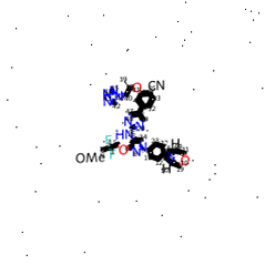 COCC(F)(F)COc1nn([C@H]2CC[C@H](N3[C@@H]4CC[C@H]3COC4)CC2)cc1Nc1ncc(-c2ccc(C#N)c(O[C@@H](C)Cn3cnnn3)c2)cn1